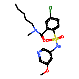 CCCCCN(C)C(=O)c1cc(Cl)ccc1S(=O)(=O)Nc1cncc(OC)c1